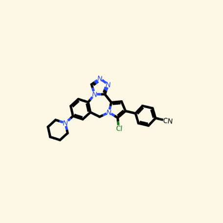 N#Cc1ccc(-c2cc3n(c2Cl)Cc2cc(N4CCCCC4)ccc2-n2cnnc2-3)cc1